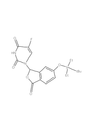 CC[Si](CC)(Oc1ccc2c(c1)C(n1cc(F)c(=O)[nH]c1=O)OC2=O)C(C)(C)C